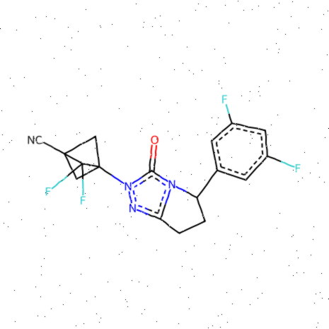 N#CC12CC(n3nc4n(c3=O)C(c3cc(F)cc(F)c3)CC4)(C1)C2(F)F